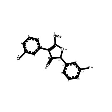 CNC1=C(c2cccc(Cl)c2)C(=O)C(c2cccc(F)c2)O1